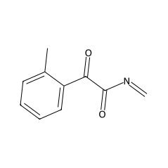 C=NC(=O)C(=O)c1ccccc1C